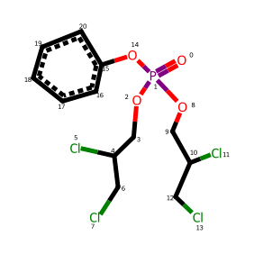 O=P(OCC(Cl)CCl)(OCC(Cl)CCl)Oc1ccccc1